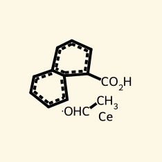 C[C]=O.O=C(O)c1cccc2ccccc12.[Ce]